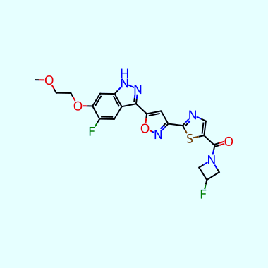 COCCOc1cc2[nH]nc(-c3cc(-c4ncc(C(=O)N5CC(F)C5)s4)no3)c2cc1F